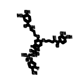 Cc1c(S(=O)(=O)NCP(=O)(O)Oc2ccc(C#N)c(F)c2)sc2cc(OCCCNC(=O)c3ccc(O)c(O)c3)c(OCCCNC(=O)c3ccc(O)c(O)c3)cc12